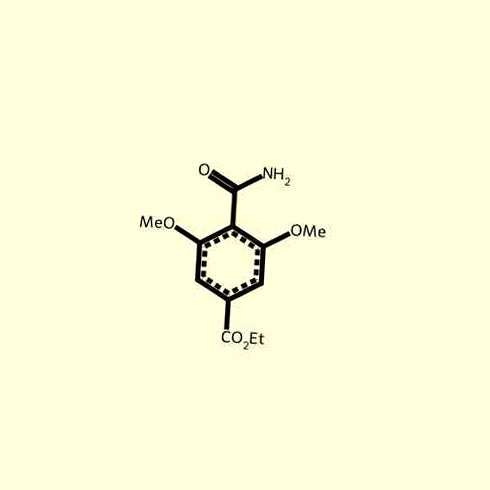 CCOC(=O)c1cc(OC)c(C(N)=O)c(OC)c1